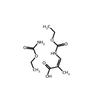 CCOC(=O)NC=C(C)C(=O)O.CCOC(N)=O